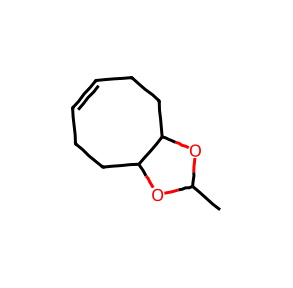 CC1OC2CC/C=C\CCC2O1